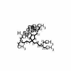 CCN(CC)CCCC(CCCN(CC)CC)(CCCN(CC)CC)CC[Si](OC)(OC)OC